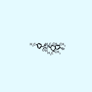 Cc1ccc(S(=O)(=O)N/N=C2\CC(C)(C)c3cc(Br)c(C)cc3C2(C)C)cc1